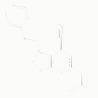 CC(=O)Cc1cc(C#N)c2c(c1)CCN2OC(=O)c1ccccc1